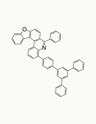 c1ccc(-c2cc(-c3ccccc3)cc(-c3ccc(-c4cccc5c4nc(-c4ccccc4)c4ccc6oc7ccccc7c6c45)cc3)c2)cc1